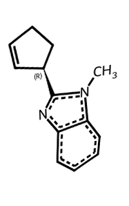 Cn1c([C@H]2C=CCC2)nc2ccccc21